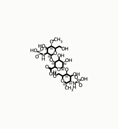 CO[C@@H]1C(CO)O[C@@H](O[C@@H]2C(C(=O)O)O[C@@H](O[C@@H]3C(CO)O[C@@H](C)[C@@H](NS(=O)(=O)O)C3O)[C@@H](O)C2O)C(NS(=O)(=O)O)[C@H]1O